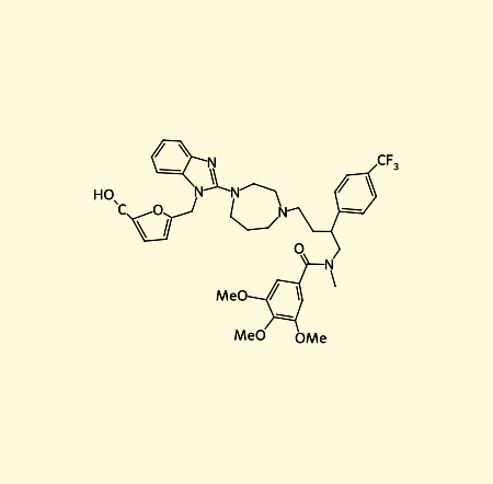 COc1cc(C(=O)N(C)CC(CCN2CCCN(c3nc4ccccc4n3Cc3ccc(CO)o3)CC2)c2ccc(C(F)(F)F)cc2)cc(OC)c1OC